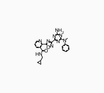 CN(c1ccccc1)c1nc(N)nc(-c2noc(-c3ncccc3C(=O)NCC3CC3)n2)n1